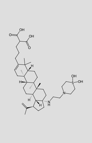 C=C(C)[C@@H]1CC[C@]2(NCCN3CCS(O)(O)CC3)CC[C@]3(C)[C@H](CC[C@@H]4[C@@]5(C)CC=C(CCCC(C(=O)O)C(=O)O)C(C)(C)[C@@H]5CC[C@]43C)[C@@H]12